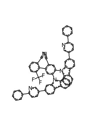 N#Cc1cc(-n2c3ccccc3c3ccc(-c4ccc(-c5ccccc5)nc4)cc32)c(-n2c3ccccc3c3ccc(-c4ccc(-c5ccccc5)nc4)cc32)cc1-c1c(C#N)cccc1C(F)(F)F